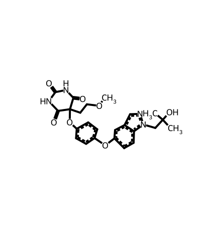 COCCC1(Oc2ccc(Oc3ccc4c(cnn4CC(C)(C)O)c3)cc2)C(=O)NC(=O)NC1=O